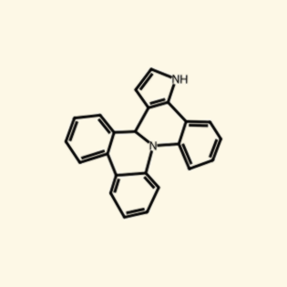 c1ccc2c(c1)-c1ccccc1N1c3ccccc3-c3[nH]ccc3C21